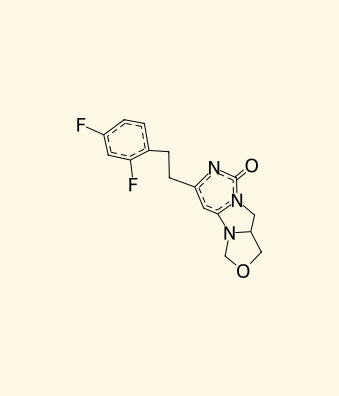 O=c1nc(CCc2ccc(F)cc2F)cc2n1CC1COCN21